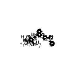 COc1c(NC(=O)Nc2ccc(Oc3ccnc(-c4cncn4Cc4ccccc4)c3)c3ccccc23)cc(C(C)(C)C)cc1NS(C)(=O)=O